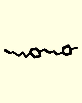 C=CCCCCc1ccc(/C=N/N=C/c2ccc(C)cc2)cc1